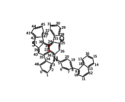 c1ccc(N(c2ccc(-c3cccc4ccccc34)cc2)c2ccc3c(c2)oc2ccccc23)c(-c2ccc3c(c2)sc2ccccc23)c1